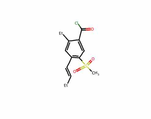 CC/C=C/c1cc(CC)c(C(=O)Cl)cc1S(C)(=O)=O